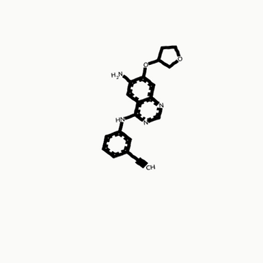 C#Cc1cccc(Nc2ncnc3cc(OC4CCOC4)c(N)cc23)c1